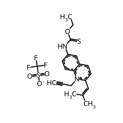 C#CC[n+]1c(C=C(C)C)ccc2cc(NC(=S)OCC)ccc21.O=S(=O)([O-])C(F)(F)F